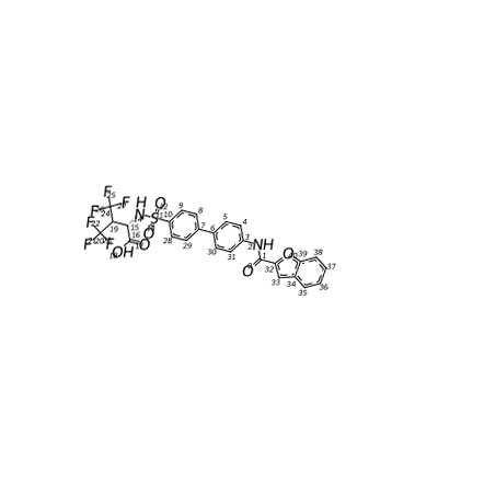 O=C(Nc1ccc(-c2ccc(S(=O)(=O)N[C@H](C(=O)O)C(C(F)(F)F)C(F)(F)F)cc2)cc1)c1cc2ccccc2o1